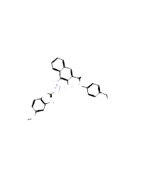 COc1ccc2sc(/N=N/c3c(O)c(C(=O)Nc4ccc(CO)cc4)cc4ccccc34)nc2c1